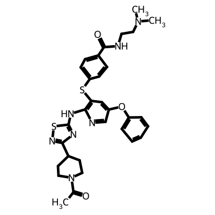 CC(=O)N1CCC(c2nsc(Nc3ncc(Oc4ccccc4)cc3Sc3ccc(C(=O)NCCN(C)C)cc3)n2)CC1